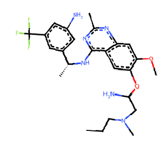 CCCN(C)CC(N)Oc1cc2c(N[C@H](C)c3cc(N)cc(C(F)(F)F)c3)nc(C)nc2cc1OC